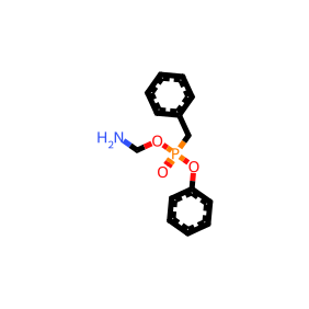 NCOP(=O)(Cc1ccccc1)Oc1ccccc1